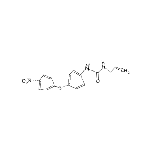 C=CCNC(=O)Nc1ccc(Sc2ccc([N+](=O)[O-])cc2)cc1